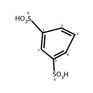 O=S(=O)(O)c1[c]c[c]c(S(=O)(=O)O)c1